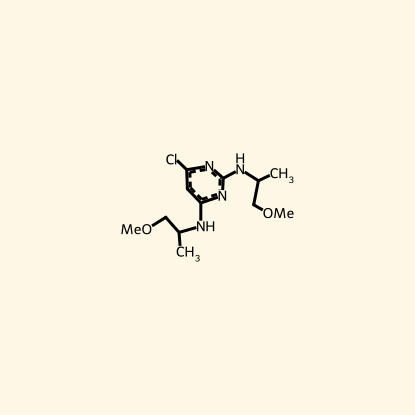 COCC(C)Nc1cc(Cl)nc(NC(C)COC)n1